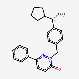 O=C(O)[C@H](c1ccc(Cn2nc(-c3ccccc3)ccc2=O)cc1)C1CCCC1